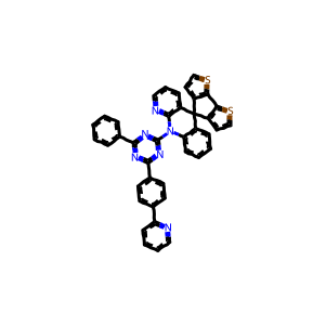 c1ccc(-c2nc(-c3ccc(-c4ccccn4)cc3)nc(N3c4ccccc4C4(c5cccnc53)c3ccsc3-c3sccc34)n2)cc1